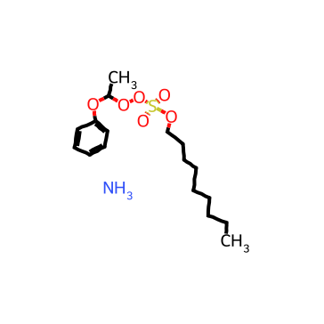 CCCCCCCCCOS(=O)(=O)OOC(C)Oc1ccccc1.N